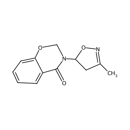 CC1=NOC(N2COc3ccccc3C2=O)C1